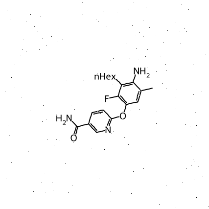 CCCCCCc1c(N)c(C)cc(Oc2ccc(C(N)=O)cn2)c1F